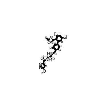 COc1cc(C(=O)NNC(=O)NCc2ccc(-c3cc(Cl)cc(F)c3-c3noc(C)n3)cc2F)on1